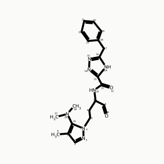 Cc1cnn(CCC(C=O)NC(=O)c2nnc(Cc3ccccc3)[nH]2)c1N(C)C